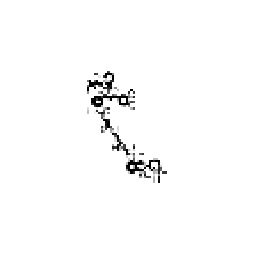 CCC(C)(C)C(=O)C(=O)N1CCCCC1C(=O)OC(CCc1ccc(OC)c(OC)c1)c1cccc(NC(=O)CCC(=O)NCCCCNC(=O)COc2cccc3c2C(=O)N(C2CCCC(=O)NC2=O)C3=O)c1